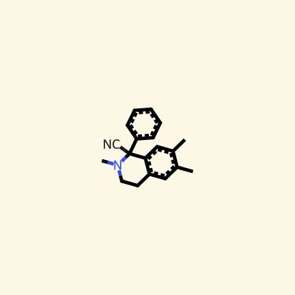 Cc1cc2c(cc1C)C(C#N)(c1ccccc1)N(C)CC2